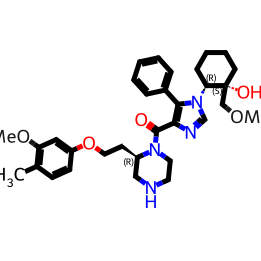 COC[C@]1(O)CCCC[C@H]1n1cnc(C(=O)N2CCNC[C@H]2CCOc2ccc(C)c(OC)c2)c1-c1ccccc1